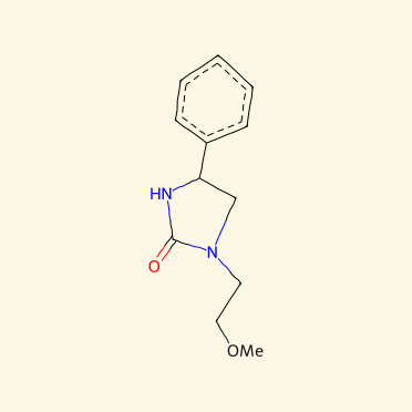 COCCN1CC(c2ccccc2)NC1=O